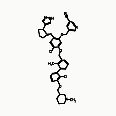 Cc1c(COc2cc(OCc3cncc(C#N)c3)c(CN3CCCC3c3cn[nH]c3)cc2Cl)cccc1-c1cccc(OCC2CCCN(C)C2)c1Cl